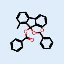 Cc1cccc2c1C(OC(=O)c1ccccc1)(OC(=O)c1ccccc1)c1ccccc1-2